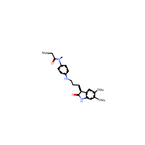 CNCC(=O)N(C)c1ccc(NCCC=C2C(=O)Nc3cc(OC)c(OC)cc32)cc1